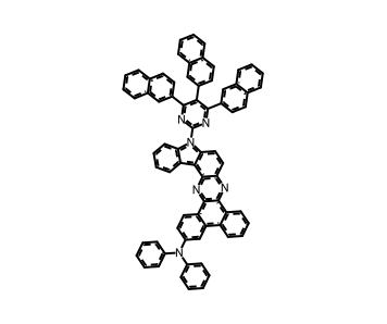 c1ccc(N(c2ccccc2)c2ccc3c(c2)c2ccccc2c2nc4ccc5c(c6ccccc6n5-c5nc(-c6ccc7ccccc7c6)c(-c6ccc7ccccc7c6)c(-c6ccc7ccccc7c6)n5)c4nc32)cc1